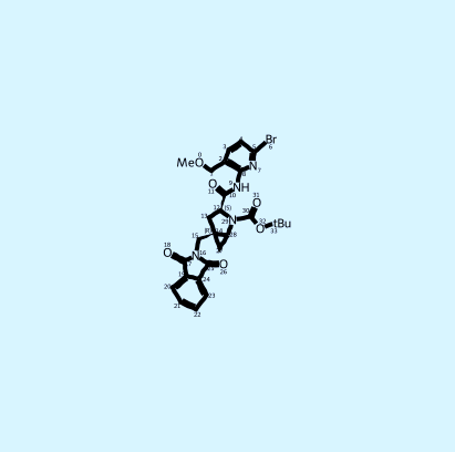 COCc1ccc(Br)nc1NC(=O)[C@@H]1C[C@@]2(CN3C(=O)c4ccccc4C3=O)CC2N1C(=O)OC(C)(C)C